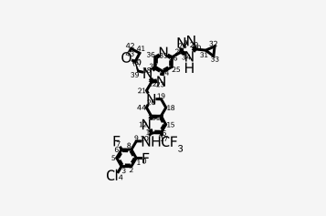 Fc1cc(Cl)cc(F)c1CNc1nc2c(cc1C(F)(F)F)CCN(Cc1nc3cc(-c4nnc(C5CC5)[nH]4)ncc3n1C[C@@H]1CCO1)C2